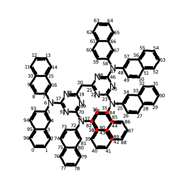 c1ccc2cc(N(c3ccc4ccccc4c3)c3nc(Cc4nc(N(c5ccc6ccccc6c5)c5ccc6ccccc6c5)nc(N(c5ccc6ccccc6c5)c5ccc6ccccc6c5)n4)nc(N(c4ccc5ccccc5c4)c4ccc5ccccc5c4)n3)ccc2c1